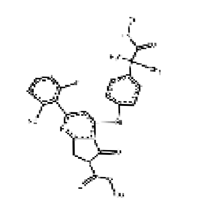 CCNC(=O)C(C)(C)c1ccc(Nc2cc(-c3c(F)cccc3C#N)nc3c2C(=O)N(C(=O)OC(C)(C)C)C3)cc1